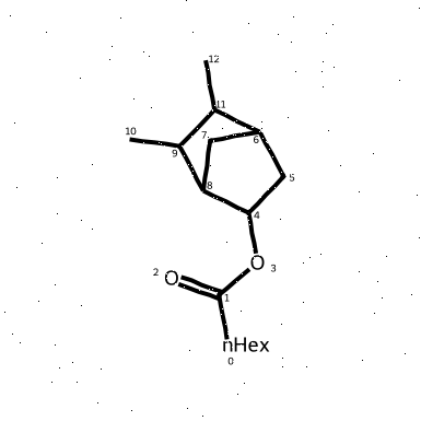 CCCCCCC(=O)OC1CC2CC1C(C)C2C